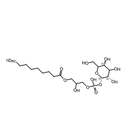 CCCCCCCCCCCCCCCCCC(=O)OCC(O)COP(=O)(O)O[C@@H]1OC(CO)[C@@H](O)C(O)[C@@H]1O